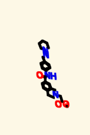 COC(=O)CN1CCc2ccc(C(=O)Nc3ccc(/C=N/N4CCCCC4)cc3)cc2C1